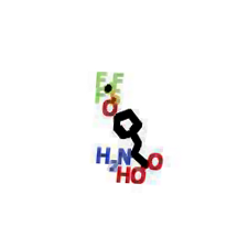 NC(Cc1ccc(OSC(F)(F)F)cc1)C(=O)O